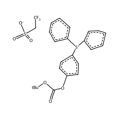 CC(C)(C)OC(=O)Oc1ccc([S+](c2ccccc2)c2ccccc2)cc1.O=S(=O)([O-])CC(F)(F)F